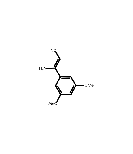 COc1cc(OC)cc(C(N)=CC#N)c1